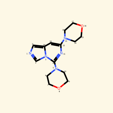 c1ncn2c(N3CCOCC3)nc(N3CCOCC3)cc12